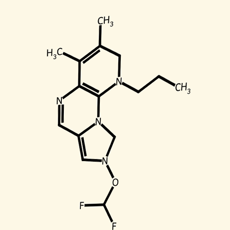 CCCN1CC(C)=C(C)C2=C1N1CN(OC(F)F)C=C1C=N2